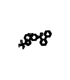 O=C(c1ccccc1-c1ccccc1)N1CCC2(CC1)NCCn1c(C(F)(F)F)ccc12